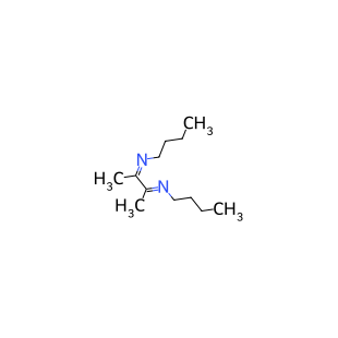 CCCCN=C(C)C(C)=NCCCC